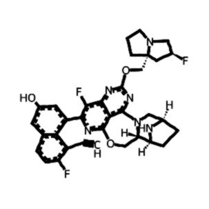 C#Cc1c(F)ccc2cc(O)cc(-c3nc4c5c(nc(OC[C@]67CCCN6C[C@@H](F)C7)nc5c3F)N3C[C@H]5CC[C@H](N5)[C@@H]3CO4)c12